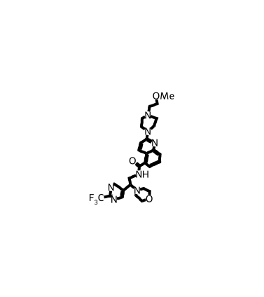 COCCN1CCN(c2ccc3c(C(=O)NCC(c4cnc(C(F)(F)F)nc4)N4CCOCC4)cccc3n2)CC1